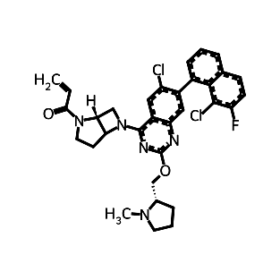 C=CC(=O)N1CCC2[C@H]1CN2c1nc(OC[C@@H]2CCCN2C)nc2cc(-c3cccc4ccc(F)c(Cl)c34)c(Cl)cc12